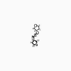 C1CCOC1.O=C=Nc1ccsc1